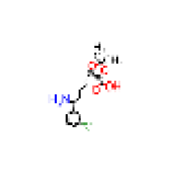 CC1(C)O[C@@H](CCCCC(N)c2cccc(Cl)c2)[C@H](C(=O)O)O1